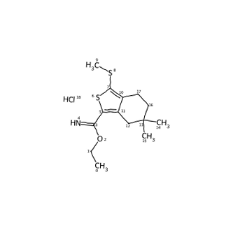 CCOC(=N)c1sc(SC)c2c1CC(C)(C)CC2.Cl